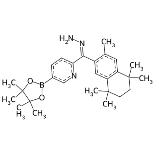 Cc1cc2c(cc1C(=NN)c1ccc(B3OC(C)(C)C(C)(C)O3)cn1)C(C)(C)CCC2(C)C